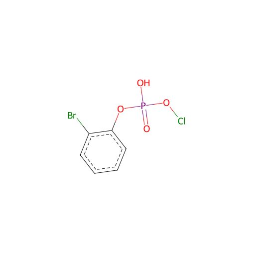 O=P(O)(OCl)Oc1ccccc1Br